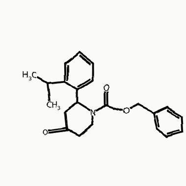 CC(C)c1ccccc1C1CC(=O)CCN1C(=O)OCc1ccccc1